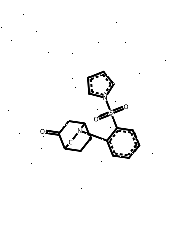 O=C1CC2CCC1CN2c1ccccc1S(=O)(=O)n1cccc1